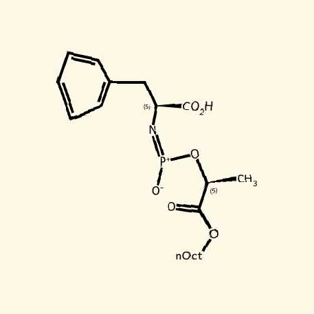 CCCCCCCCOC(=O)[C@H](C)O[P+]([O-])=N[C@@H](Cc1ccccc1)C(=O)O